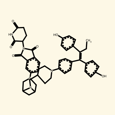 CCC(=C(c1ccc(O)cc1)c1ccc(N2CCC(CN3C4CC3CN(c3ccc5c(c3)C(=O)N(C3CCC(=O)NC3=O)C5=O)C4)CC2)cc1)c1ccc(O)cc1